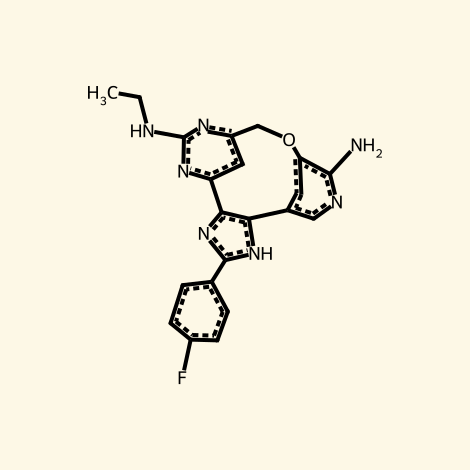 CCNc1nc2cc(n1)-c1nc(-c3ccc(F)cc3)[nH]c1-c1cnc(N)c(c1)OC2